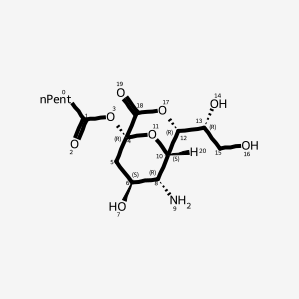 CCCCCC(=O)O[C@@]12C[C@H](O)[C@@H](N)[C@H](O1)[C@@H]([C@H](O)CO)OC2=O